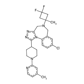 Cc1ccnc(N2CCC(c3nnc4n3-c3ccc(Cl)cc3CN(C3(C)CC(F)(F)C3)C4)CC2)c1